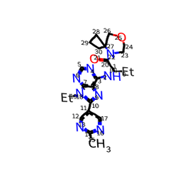 CC[C@@H](Nc1ncnc2c1nc(-c1cnc(C)nc1)n2CC)C(=O)N1CCOCC12CCC2